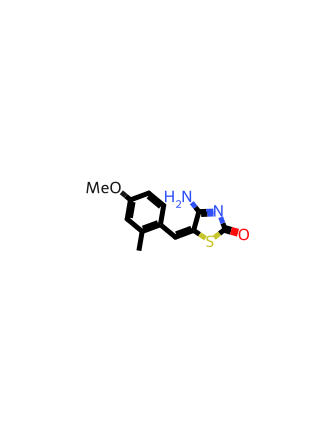 COc1ccc(C=C2SC(=O)N=C2N)c(C)c1